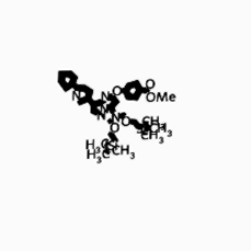 COC(=O)c1ccc(Oc2cc(N(COCC[Si](C)(C)C)COCC[Si](C)(C)C)n3ncc(-c4ccc(-c5ccccc5)nc4)c3n2)cc1